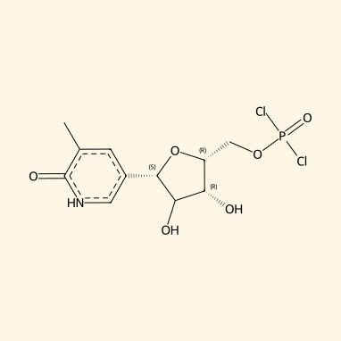 Cc1cc([C@@H]2O[C@H](COP(=O)(Cl)Cl)[C@H](O)C2O)c[nH]c1=O